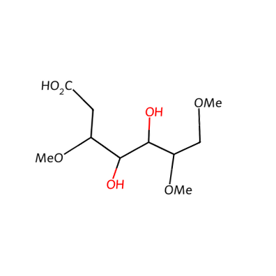 COCC(OC)C(O)C(O)C(CC(=O)O)OC